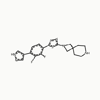 Fc1c(-c2cn[nH]c2)ccc(-c2nnc(N3CC4(CCNCC4)C3)s2)c1F